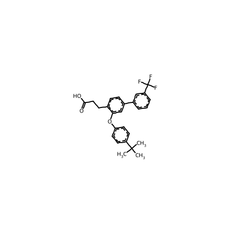 CC(C)(C)c1ccc(Oc2cc(-c3cccc(C(F)(F)F)c3)ccc2CCC(=O)O)cc1